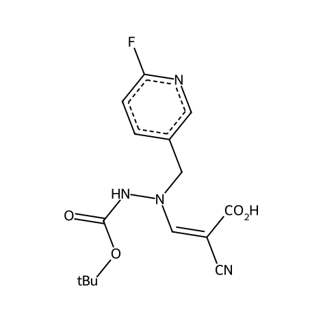 CC(C)(C)OC(=O)NN(C=C(C#N)C(=O)O)Cc1ccc(F)nc1